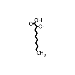 CCCCCCCCC([O])C(=O)O